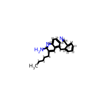 CCCCCc1cc2c(Cc3ccccc3C#N)cccc2nc1N